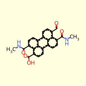 CNC(=O)c1ccc2c3ccc(C(=O)O)c4c(C(=O)NC)ccc(c5ccc(C=O)c1c25)c43